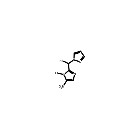 CCn1c([N+](=O)[O-])cnc1C(S)n1cccn1